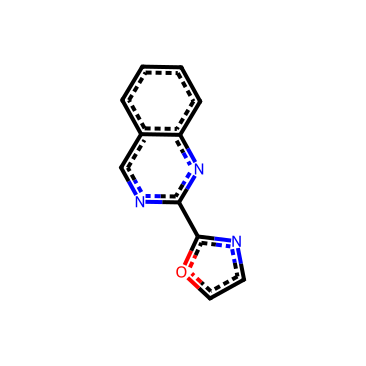 c1ccc2nc(-c3ncco3)ncc2c1